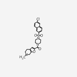 CN1CCc2cc(C(=O)N3CCN(S(=O)(=O)c4ccc5cc(Cl)ccc5c4)CC3)oc2C1